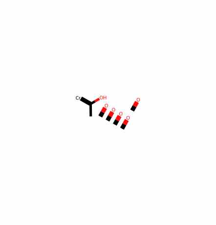 C=O.C=O.C=O.C=O.C=O.C[C](O)=[Cr]